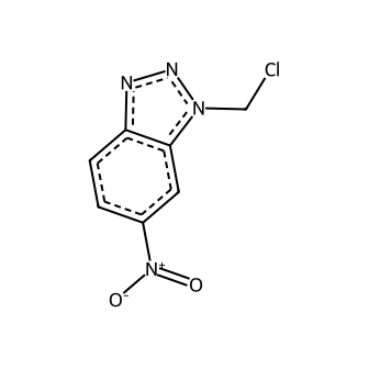 O=[N+]([O-])c1ccc2nnn(CCl)c2c1